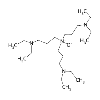 CCN(CC)CCC[N+]([O-])(CCCN(CC)CC)CCCN(CC)CC